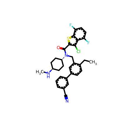 CCc1ccc(-c2cccc(C#N)c2)cc1CN(C(=O)c1sc2c(F)ccc(F)c2c1Cl)[C@H]1CC[C@H](NC)CC1